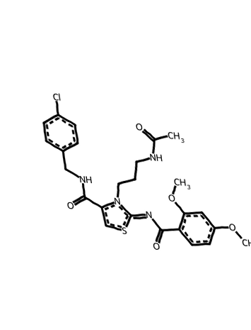 COc1ccc(C(=O)/N=c2\scc(C(=O)NCc3ccc(Cl)cc3)n2CCCNC(C)=O)c(OC)c1